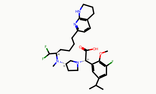 COc1c(F)cc(C(C)C)cc1[C@@H](C(=O)O)N1CC[C@H](N(C)[C@H](CCCCc2ccc3c(n2)NCCC3)C(F)F)C1